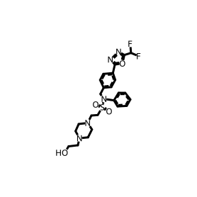 O=S(=O)(CCN1CCN(CCO)CC1)N(Cc1ccc(-c2nnc(C(F)F)o2)cc1)c1ccccc1